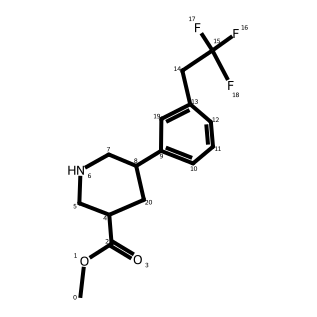 COC(=O)C1CNCC(c2cccc(CC(F)(F)F)c2)C1